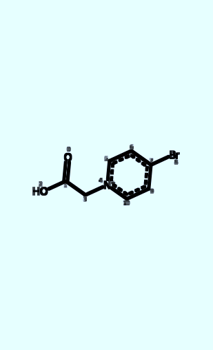 O=C(O)C[n+]1ccc(Br)cc1